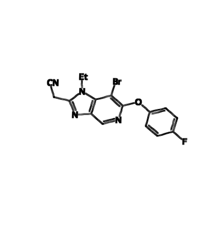 CCn1c(CC#N)nc2cnc(Oc3ccc(F)cc3)c(Br)c21